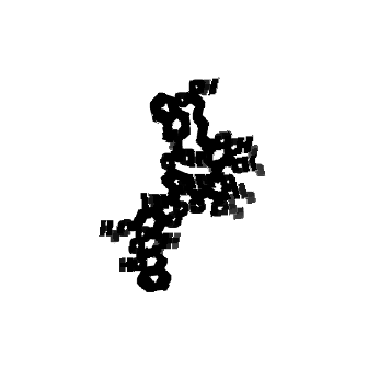 CCCC(NC(=O)C1CC(OC(=O)N2CCc3ccccc3C2)CN1C(=O)[C@@H](NC(=O)[C@@H](NC(=O)CCCCC(=O)O)C(C)C)C(C)C)C(=O)C(=O)N[C@@H](Cc1ccccc1)C(=O)O